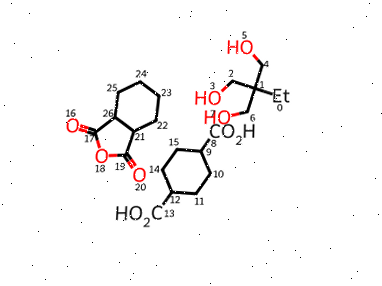 CCC(CO)(CO)CO.O=C(O)C1CCC(C(=O)O)CC1.O=C1OC(=O)C2CCCCC12